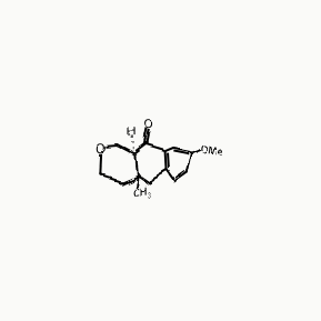 COc1ccc2c(c1)C(=O)[C@@H]1COCCC1(C)C2